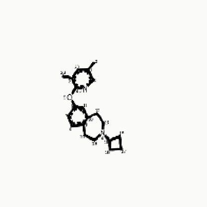 Cc1cnc(Oc2ccc3c(c2)CCN(C2CCC2)CC3)c(C)c1